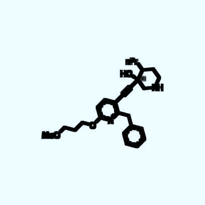 CCCC1CCNC[C@]1(O)C#Cc1ccc(OCCCOC)nc1Cc1ccccc1